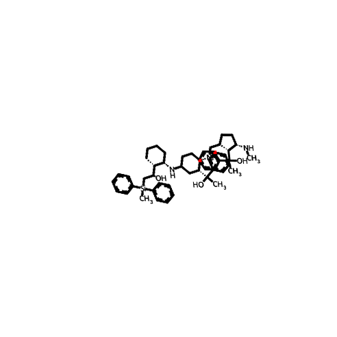 CN[C@H]1CCC(CN[C@H]2CCC(N[C@H]3CCCC[C@H]3[C@H](O)C[Si](C)(c3ccccc3)c3ccccc3)C[C@H]2C(C)(O)c2ccccc2)[C@H]1[C@](C)(O)c1ccccc1